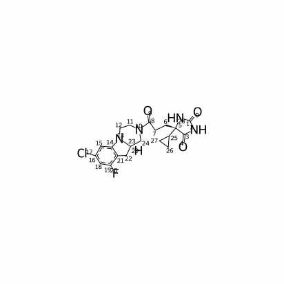 O=C1NC(=O)[C@](CCC(=O)N2CCN3c4cc(Cl)cc(F)c4C[C@@H]3C2)(C2CC2)N1